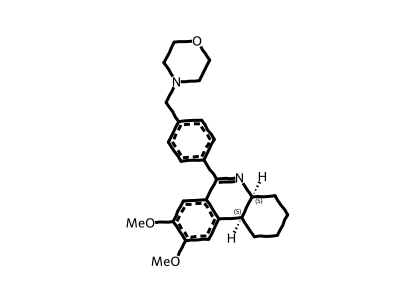 COc1cc2c(cc1OC)[C@@H]1CCCC[C@@H]1N=C2c1ccc(CN2CCOCC2)cc1